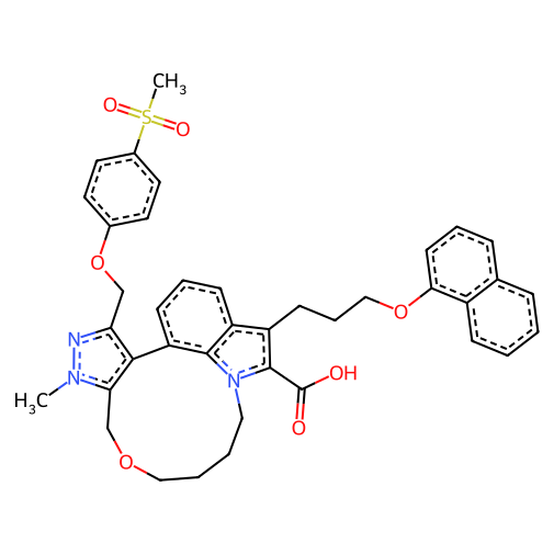 Cn1nc(COc2ccc(S(C)(=O)=O)cc2)c2c1COCCCCn1c(C(=O)O)c(CCCOc3cccc4ccccc34)c3cccc-2c31